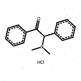 CN(C)C(C(=O)c1ccccc1)c1ccccc1.Cl